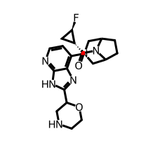 O=C([C@@H]1C[C@H]1F)N1C2CCC1CN(c1ccnc3[nH]c(C4CNCCO4)nc13)C2